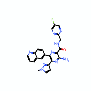 Cn1ccc(-c2nc(N)c(C(=O)NCc3ncc(F)cn3)nc2-c2ccc3ncccc3c2)n1